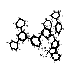 CC1(C)c2ccccc2-c2ccc(N(c3cccc(C4CCCCC4)c3)c3cc(-c4cccc(-c5cc(C6CCCCC6)cc(C6CCCCC6)c5)c4)cc4c3CCCC4)cc21